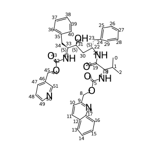 CC(C)[C@H](NC(=O)OCc1ccc2ccccc2n1)C(=O)N[C@@H](Cc1ccccc1)C[C@H](O)[C@H](Cc1ccccc1)NC(=O)OCc1cccnc1